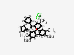 Cc1cc2c(cc1C(C)(C)C)-c1cc(C(C)(C)C)c(C)[c](/[Zr+2]([C]3=CC=CC3)=[C](/c3ccccc3)c3cccc(C(F)(F)F)c3)c1C2.[Cl-].[Cl-]